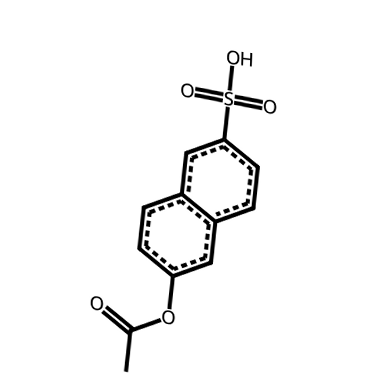 CC(=O)Oc1ccc2cc(S(=O)(=O)O)ccc2c1